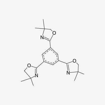 CC1(C)COC(c2cc(C3=NC(C)(C)CO3)cc(C3=NC(C)(C)CO3)c2)=N1